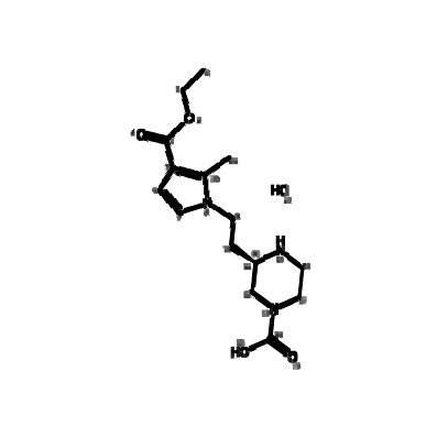 CCOC(=O)c1ccn(CC[C@@H]2CN(C(=O)O)CCN2)c1C.Cl